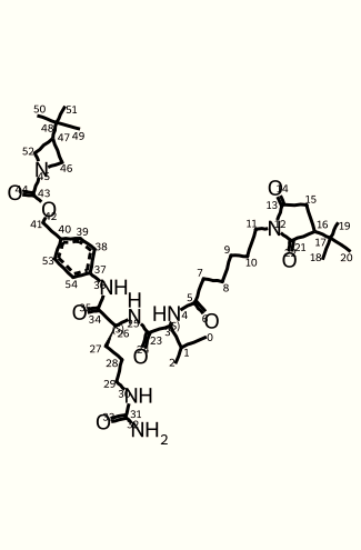 CC(C)[C@H](NC(=O)CCCCCN1C(=O)CC(C(C)(C)C)C1=O)C(=O)N[C@@H](CCCNC(N)=O)C(=O)Nc1ccc(COC(=O)N2CC(C(C)(C)C)C2)cc1